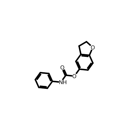 O=C(Nc1ccccc1)Oc1ccc2c(c1)CCO2